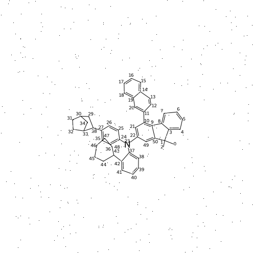 CC1(C)c2ccccc2-c2c(-c3ccc4ccccc4c3)cc(N(c3ccc(C4CC5CCC4C5)cc3)c3ccccc3C3CCCCC3)cc21